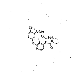 COc1cc(Oc2nccc(N3C(=O)NC4(CCCC4)C3=O)c2F)ccc1C